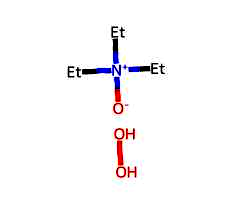 CC[N+]([O-])(CC)CC.OO